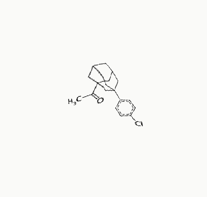 CC(=O)C12CC3CC(C1)CC(c1ccc(Cl)cc1)(C3)C2